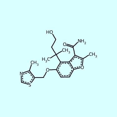 Cc1ncsc1COc1ccc2oc(C)c(C(N)=O)c2c1C(C)(C)CCO